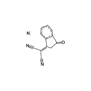 N#CC(C#N)=C1CC(=O)c2ccccc21.[N]